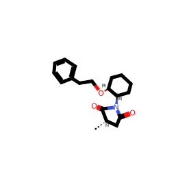 C[C@H]1CC(=O)N([C@@H]2CCCC[C@H]2OCCc2ccccc2)C1=O